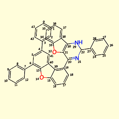 c1ccc(-c2cc(-c3ccccc3)c3oc4cccc(C5=NC(c6ccccc6)Nc6c5oc5ccccc65)c4c3c2)cc1